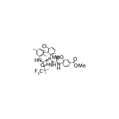 COC(=O)c1ccc(NC(=O)[C@@H]2N[C@@H](CC(C)(C)C(F)(F)F)[C@]3(Cc4ccc(C)cc4NC3=O)[C@H]2c2cccc(Cl)c2F)c(OC)c1